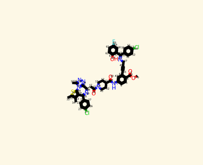 COC(=O)c1ccc(NC(=O)C2CCN(C(=O)C[C@@H]3N=C(c4ccc(Cl)cc4)c4c(sc(C)c4C)-n4c(C)nnc43)CC2)cc1C#CC/N=C(\c1ccc(Cl)cc1)c1cc(F)ccc1O